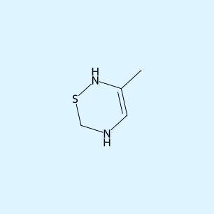 CC1=CNCSN1